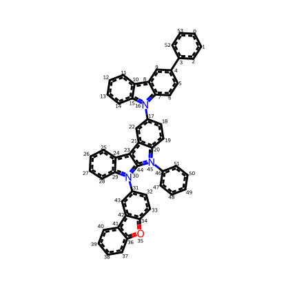 c1ccc(-c2ccc3c(c2)c2ccccc2n3-c2ccc3c(c2)c2c4ccccc4n(-c4ccc5oc6ccccc6c5c4)c2n3-c2ccccc2)cc1